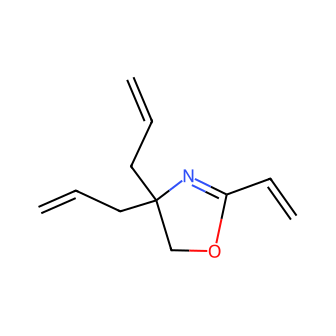 C=CCC1(CC=C)COC(C=C)=N1